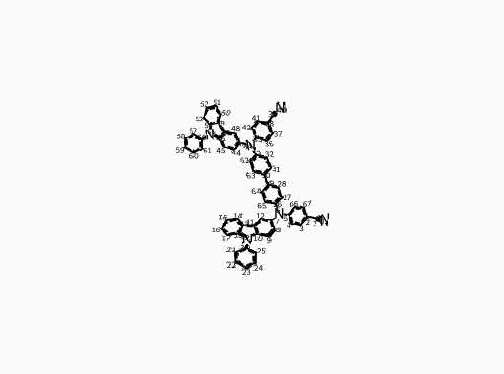 N#Cc1ccc(N(c2c#cc3c(c2)c2ccccc2n3-c2ccccc2)c2ccc(-c3ccc(N(c4ccc(C#N)cc4)c4ccc5c(c4)c4ccccc4n5-c4ccccc4)cc3)cc2)cc1